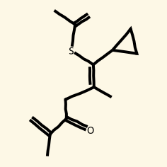 C=C(C)S/C(=C(/C)CC(=O)C(=C)C)C1CC1